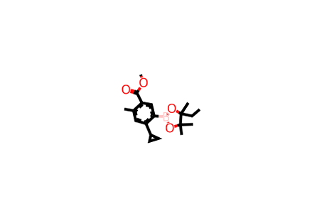 CCC1(C)OB(c2cc(C(=O)OC)c(C)cc2C2CC2)OC1(C)C